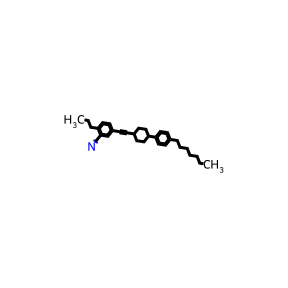 CCCCCCCc1ccc(C2CCC(C#Cc3ccc(CCC)c(C#N)c3)CC2)cc1